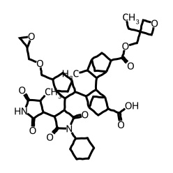 CCC1(COC(=O)C2CC3CC2C(C2C4CC(CC4C(=O)O)C2C2C4CC(COCC5CO5)C(C4)C2C2C(=O)N(C4CCCCC4)C(=O)C2C2C(=O)NC(=O)C2C)C3C)COC1